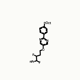 CCCCCCCCc1ccc(-c2ncc(OCCC(F)C(F)CCC)cn2)cc1